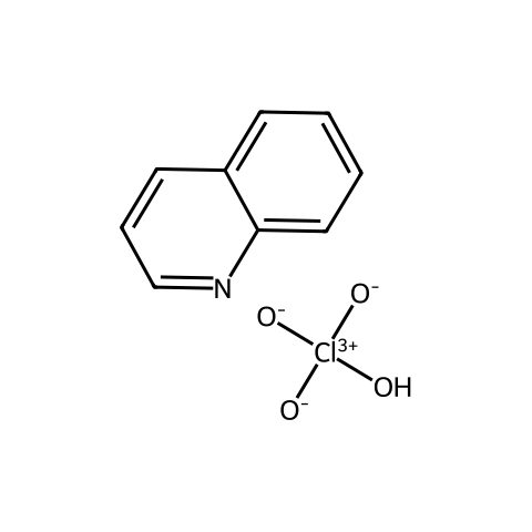 [O-][Cl+3]([O-])([O-])O.c1ccc2ncccc2c1